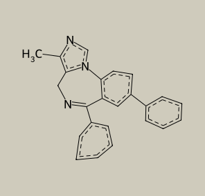 Cc1ncn2c1CN=C(c1ccccc1)c1cc(-c3ccccc3)ccc1-2